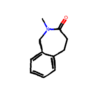 CN1Cc2ccccc2CCC1=O